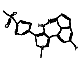 CN1C=C2C(=C(c3ccc(S(C)(=O)=O)nc3)C1)NN=C1C=Cc3cc(F)cc2c31